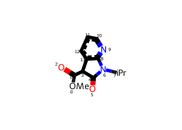 COC(=O)C1C(=O)N(C(C)C)c2ncccc21